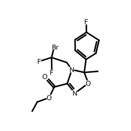 CCOC(=O)C1=NOC(C)(c2ccc(F)cc2)N1CC(F)(F)Br